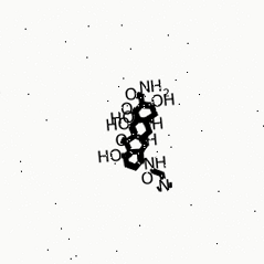 CN(C)CC(=O)Nc1ccc(O)c2c1C[C@H]1C[C@H]3CC(O)=C(C(N)=O)C(=O)[C@@]3(O)C(O)=C1C2=O